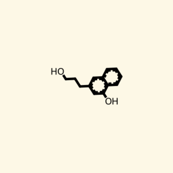 OCCCc1cc(O)c2ccccc2c1